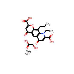 CCCc1c2oc(C(=O)O)cc(=O)c2cc2c(=O)cc(C(=O)O)n(CC)c12.O=C(O)CO.[NaH].[NaH]